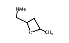 CNCC1CC(C)O1